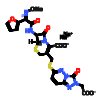 CO/N=C(\C(=O)NC1C(=O)N2C(C(=O)[O-])=C(CSc3ccc4nn(CC(=O)[O-])c(=O)n4n3)CS[C@@H]12)c1ccco1.[Na+].[Na+]